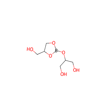 OCC(CO)OB1OCC(CO)O1